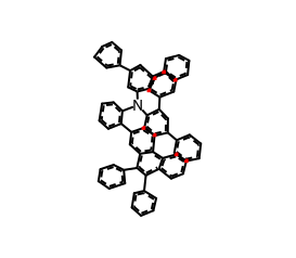 c1ccc(-c2cc(-c3ccccc3)cc(N(c3ccccc3-c3ccc4c(c3)c(-c3ccccc3)c(-c3ccccc3)c3ccccc34)c3ccc(-c4ccccc4)cc3-c3ccccc3)c2)cc1